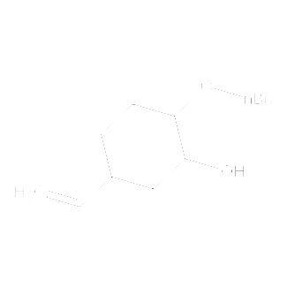 C=CC1CCC(OCCCC)C(O)C1